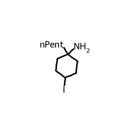 CCCCCC1(N)CCC(I)CC1